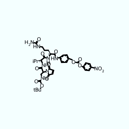 CC(C)[C@H](NC(=O)C(CNC(=O)OC(C)(C)C)N1C(=O)C=CC1=O)C(=O)N[C@@H](CCCNC(N)=O)C(=O)Nc1ccc(COC(=O)Oc2ccc([N+](=O)[O-])cc2)cc1